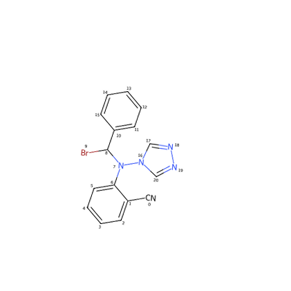 N#Cc1ccccc1N(C(Br)c1ccccc1)n1cnnc1